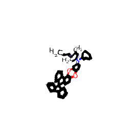 C=C/C=C/C(=C)/C=C(\C=C)N(C1=CC=CCC=C1)c1ccc2c(c1)Oc1c(ccc3c1-c1ccccc1C31c3ccccc3-c3ccccc31)O2